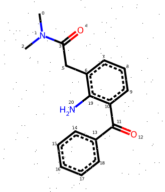 CN(C)C(=O)Cc1cccc(C(=O)c2ccccc2)c1N